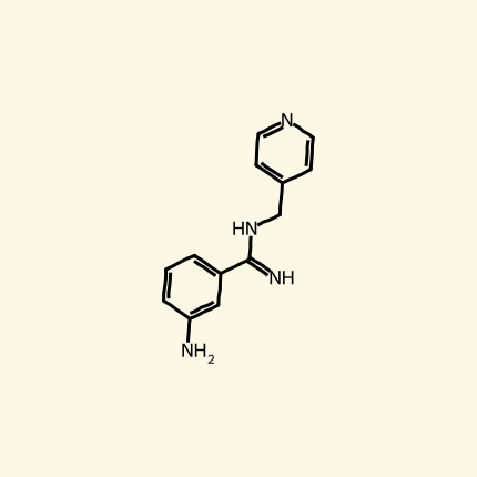 N=C(NCc1ccncc1)c1cccc(N)c1